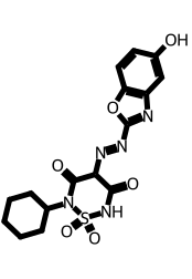 O=C1NS(=O)(=O)N(C2CCCCC2)C(=O)C1N=Nc1nc2cc(O)ccc2o1